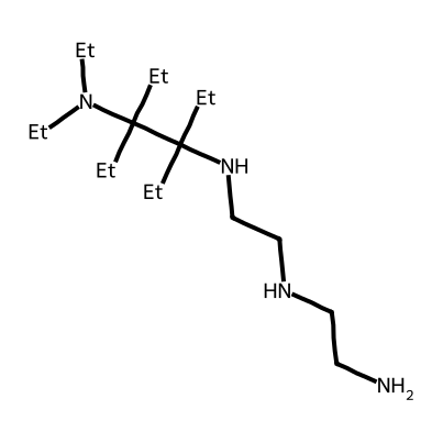 CCN(CC)C(CC)(CC)C(CC)(CC)NCCNCCN